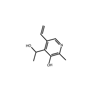 C=Cc1cnc(C)c(O)c1C(C)O